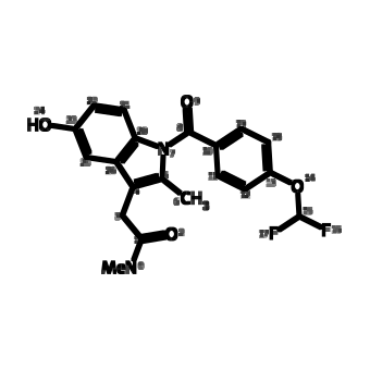 CNC(=O)Cc1c(C)n(C(=O)c2ccc(OC(F)F)cc2)c2ccc(O)cc12